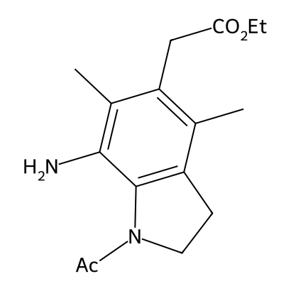 CCOC(=O)Cc1c(C)c(N)c2c(c1C)CCN2C(C)=O